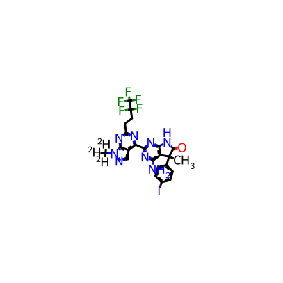 [2H]C([2H])([2H])n1ncc2c(-c3nc(N)c4c(n3)NC(=O)C4(C)c3ccc(I)cc3)nc(CCC(F)(F)C(F)(F)F)nc21